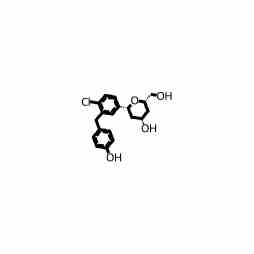 OC[C@@H]1C[C@H](O)C[C@H](c2ccc(Cl)c(Cc3ccc(O)cc3)c2)O1